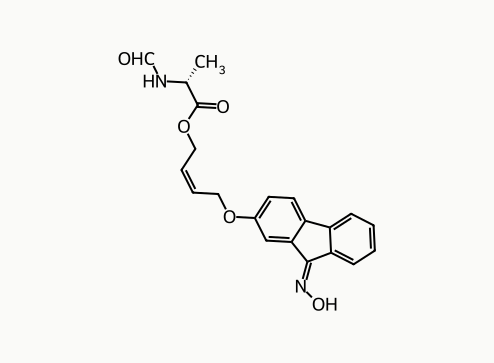 C[C@@H](NC=O)C(=O)OC/C=C\COc1ccc2c(c1)/C(=N/O)c1ccccc1-2